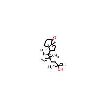 CC(C)(O)CCC(C)(C)[C@@H](I)C1CC[C@H]2C(=O)CCC[C@]12C